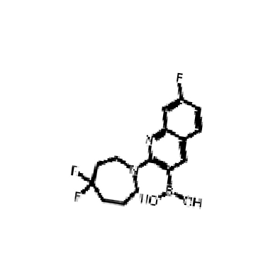 OB(O)c1cc2ccc(F)cc2nc1N1CCCC(F)(F)CC1